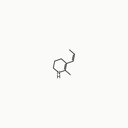 C/C=C\C1=C(C)NCCC1